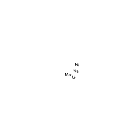 [Li].[Mn].[Na].[Ni]